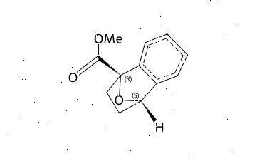 COC(=O)[C@]12CC[C@H](O1)c1ccccc12